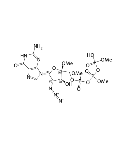 CO[C@]1(COP(=O)(OC)OP(=O)(OC)OP(=O)(O)OC)O[C@@H](n2cnc3c(=O)[nH]c(N)nc32)[C@@H](N=[N+]=[N-])[C@@H]1O